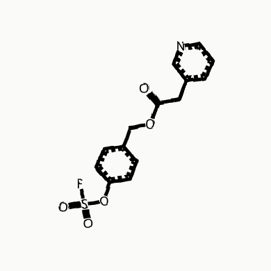 O=C(Cc1cccnc1)OCc1ccc(OS(=O)(=O)F)cc1